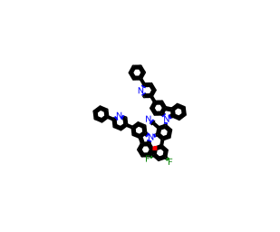 N#Cc1c(-n2c3ccccc3c3cc(-c4ccc(-c5ccccc5)nc4)ccc32)ccc(-c2cc(F)cc(F)c2)c1-n1c2ccccc2c2cc(-c3ccc(-c4ccccc4)nc3)ccc21